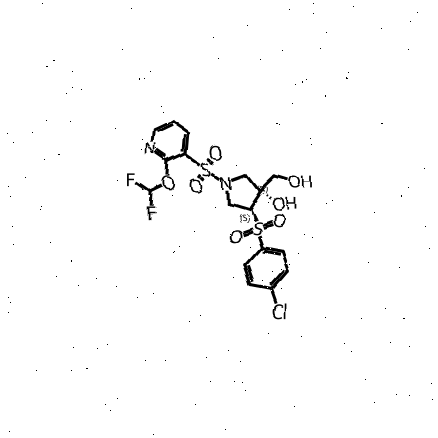 O=S(=O)(c1ccc(Cl)cc1)[C@H]1CN(S(=O)(=O)c2cccnc2OC(F)F)C[C@@]1(O)CO